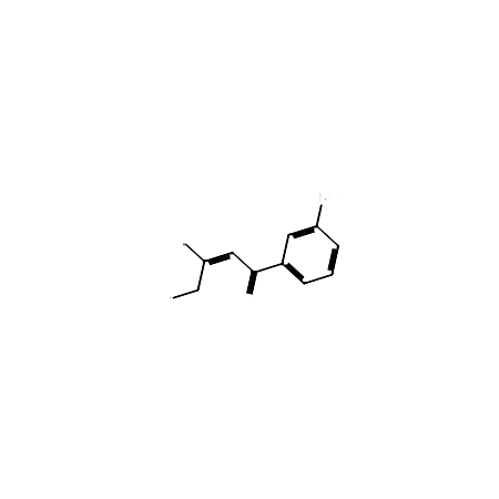 O=Nc1cccc(C(=O)/C=C(/Cl)CCl)c1